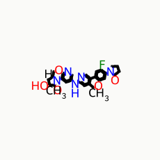 CC1Oc2cc(N3CCCC3=O)c(F)cc2-c2cnc(Nc3cnc4c(c3)N3C(=O)[C@](C)(O)C[C@H]3CO4)cc21